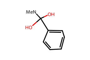 CNC(O)(O)c1ccccc1